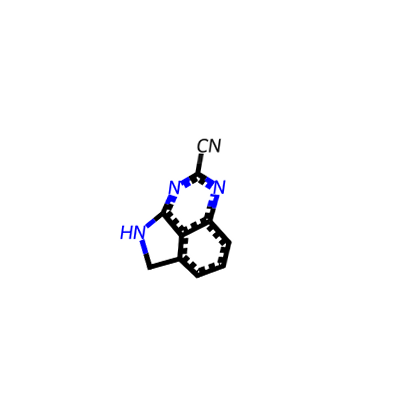 N#Cc1nc2c3c(cccc3n1)CN2